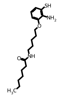 CCCCCCC(=O)NCCCCCOc1cccc(S)c1N